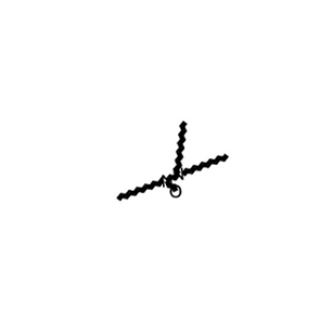 CCCCCCCCCCCCN(CC=O)CCN(CCCCCCCCCCCC)CCCCCCCCCCCC